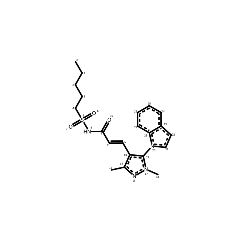 CCCCCS(=O)(=O)NC(=O)C=Cc1c(C)nn(C)c1-n1ccc2ccccc21